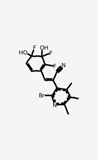 Cc1nc(Br)c(C(C#N)=CC2=C(F)C(O)(F)C(O)(F)C=C2)c(C)c1C